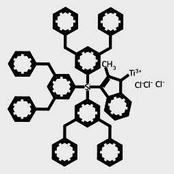 CC1=C([Si](c2cc(Cc3ccccc3)cc(Cc3ccccc3)c2)(c2cc(Cc3ccccc3)cc(Cc3ccccc3)c2)c2cc(Cc3ccccc3)cc(Cc3ccccc3)c2)c2ccccc2[CH]1[Ti+3].[Cl-].[Cl-].[Cl-]